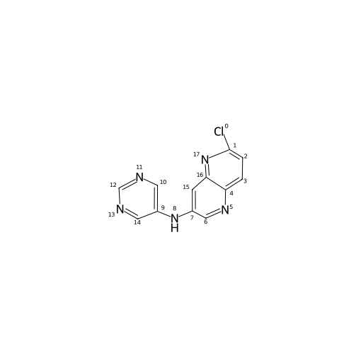 Clc1ccc2ncc(Nc3cncnc3)cc2n1